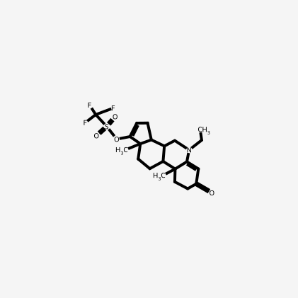 CCN1CC2C3CC=C(OS(=O)(=O)C(F)(F)F)C3(C)CCC2C2(C)CCC(=O)C=C12